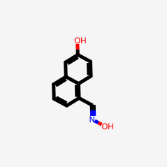 O/N=C/c1cccc2cc(O)ccc12